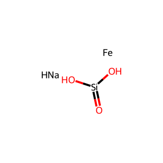 O=[Si](O)O.[Fe].[NaH]